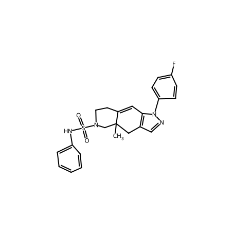 CC12Cc3cnn(-c4ccc(F)cc4)c3C=C1CCN(S(=O)(=O)Nc1ccccc1)C2